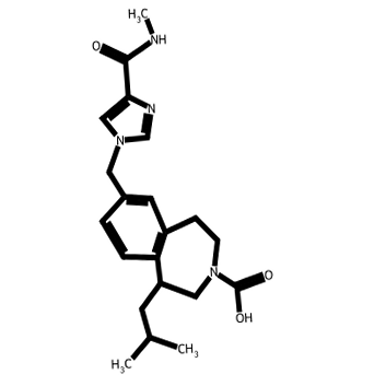 CNC(=O)c1cn(Cc2ccc3c(c2)CCN(C(=O)O)CC3CC(C)C)cn1